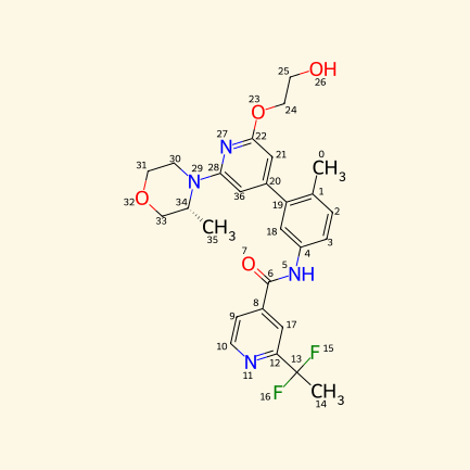 Cc1ccc(NC(=O)c2ccnc(C(C)(F)F)c2)cc1-c1cc(OCCO)nc(N2CCOC[C@H]2C)c1